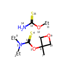 CCN(CC)C(=S)OC1(C)COC1.CCOC(N)=S